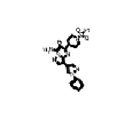 CCS(=O)(=O)N1CCC(c2nc3c(-c4cnn(-c5ccccc5)c4)cnn3c(N)c2Br)CC1